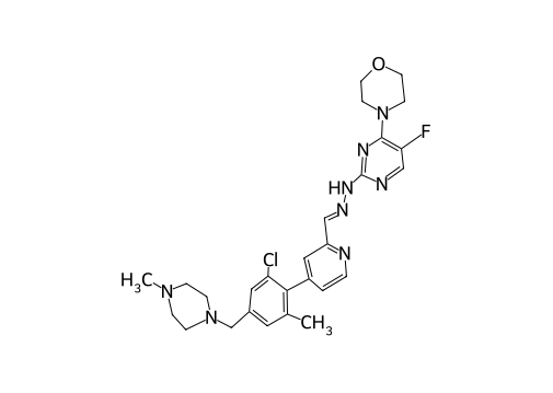 Cc1cc(CN2CCN(C)CC2)cc(Cl)c1-c1ccnc(/C=N/Nc2ncc(F)c(N3CCOCC3)n2)c1